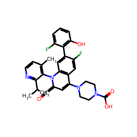 Cc1ccnc(C(C)C)c1N1C(=C=O)C=C(N2CCN(C(=O)O)CC2)c2cc(F)c(-c3c(O)cccc3F)cc21